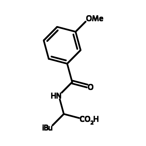 CCC(C)C(NC(=O)c1cccc(OC)c1)C(=O)O